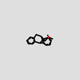 CN(C)CC1C2Cc3ccccc3C1c1ccccc12